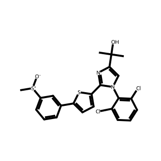 C[S+]([O-])c1cccc(-c2ccc(-c3nc(C(C)(C)O)cn3-c3c(Cl)cccc3Cl)s2)c1